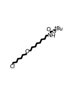 CC(C)(C)OC(=O)NCCCCCCCCOCCCCCCCl